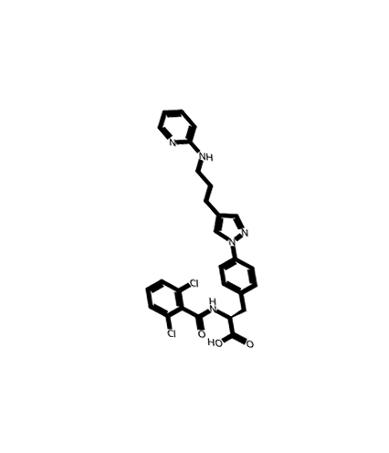 O=C(N[C@@H](Cc1ccc(-n2cc(CCCNc3ccccn3)cn2)cc1)C(=O)O)c1c(Cl)cccc1Cl